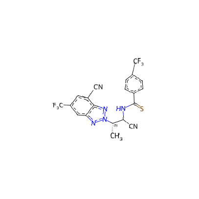 C[C@@H](C(C#N)NC(=S)c1ccc(C(F)(F)F)cc1)n1nc2cc(C(F)(F)F)cc(C#N)c2n1